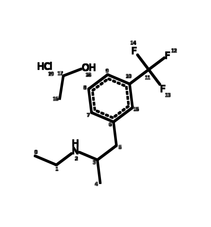 CCNC(C)Cc1cccc(C(F)(F)F)c1.CCO.Cl